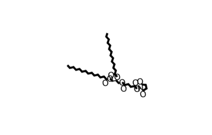 CCCCCCCCCCCCCC(=O)OC[C@H](COC(=O)CCC(=O)ON1C(=O)CCC1=O)OC(=O)CCCCCCCCCCCCC